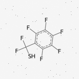 Fc1c(F)c(F)c(C(F)(F)S)c(F)c1F